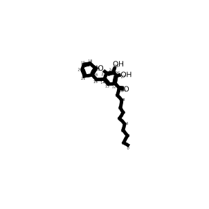 CCCCCCCCCCC(=O)c1cc(Cc2ccccc2)c(O)c(O)c1O